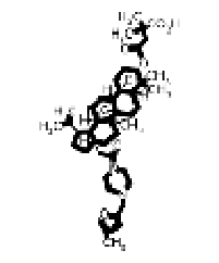 C=C(C)[C@@H]1CC[C@]2(CC(=O)N3CCN(Cc4cc(C)co4)CC3)CC[C@]3(C)[C@H](CC[C@@H]4[C@@]5(C)CC[C@H](OC(=O)CC(C)(C)C(=O)O)C(C)(C)[C@@H]5CC[C@]43C)[C@@H]12